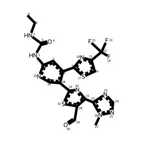 CCNC(=O)Nc1cc(-c2nc(C(F)(F)F)cs2)c(-c2nc(-c3ncnn3C)c(C=O)s2)cn1